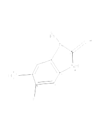 Cc1cc2c(cc1F)[nH]c(=O)n2C(C)C